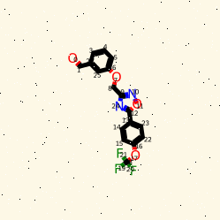 O=Cc1cccc(OCc2noc(-c3ccc(OC(F)(F)F)cc3)n2)c1